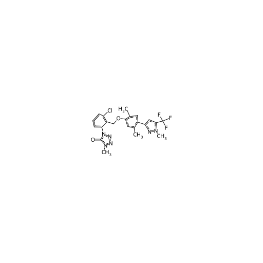 Cc1cc(-c2cc(C(F)(F)F)n(C)n2)c(C)cc1OCC1=C(Cl)C=C=C=C1n1nnn(C)c1=O